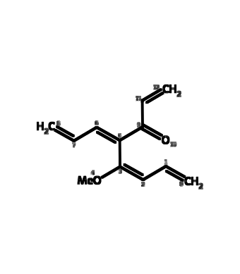 C=C/C=C(OC)\C(=C/C=C)C(=O)C=C